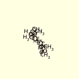 COC(=O)c1nc2c(n1C)CCN([C@H]1CC[C@@](C)(C(=O)OC(C)(C)C)CC1)C2